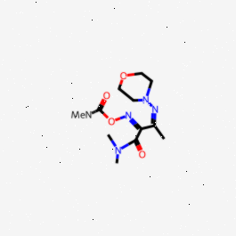 CNC(=O)ON=C(C(=O)N(C)C)C(C)=NN1CCOCC1